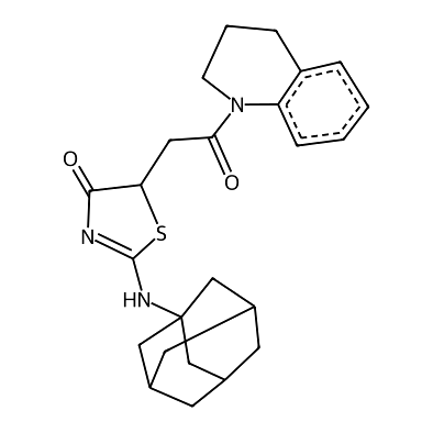 O=C1N=C(NC23CC4CC(CC(C4)C2)C3)SC1CC(=O)N1CCCc2ccccc21